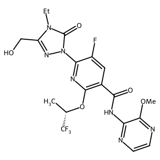 CCn1c(CO)nn(-c2nc(O[C@@H](C)C(F)(F)F)c(C(=O)Nc3nccnc3OC)cc2F)c1=O